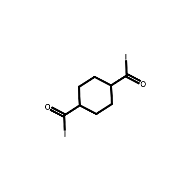 O=C(I)C1CCC(C(=O)I)CC1